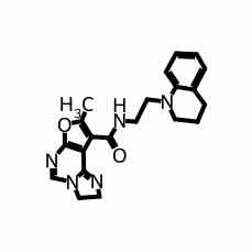 Cc1oc2c(c1C(=O)NCCN1CCCc3ccccc31)C1=NCCN1C=N2